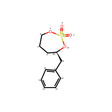 O=S1(=O)OCCC[C@H](Cc2ccccc2)O1